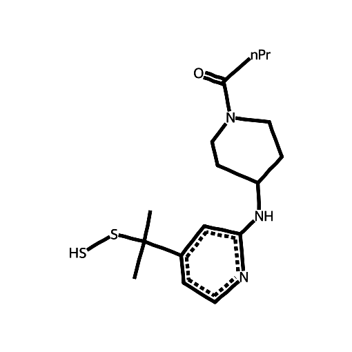 CCCC(=O)N1CCC(Nc2cc(C(C)(C)SS)ccn2)CC1